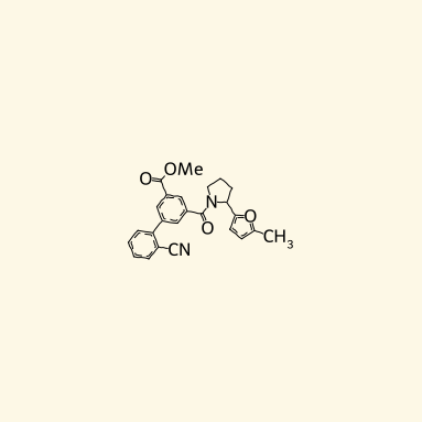 COC(=O)c1cc(C(=O)N2CCCC2c2ccc(C)o2)cc(-c2ccccc2C#N)c1